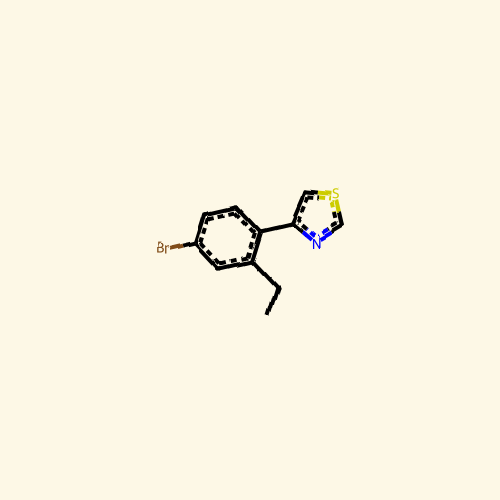 CCc1cc(Br)ccc1-c1cscn1